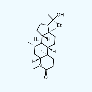 CC[C@](C)(O)[C@H]1CC[C@H]2[C@@H]3[C@@H](C)C[C@H]4N(C)C(=O)CC[C@]4(C)[C@H]3CC[C@@]21C